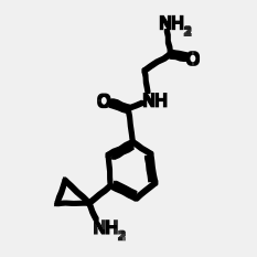 NC(=O)CNC(=O)c1cccc(C2(N)CC2)c1